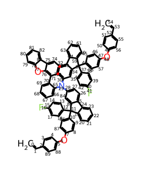 C=Cc1ccc(Oc2ccc(C3(c4ccc(F)cc4)c4ccccc4-c4ccc(N(c5ccc6c(c5)C(c5ccc(F)cc5)(c5ccc(Oc7ccc(C=C)cc7)cc5)c5ccccc5-6)c5ccccc5-c5cccc6c5oc5ccccc56)cc43)cc2)cc1